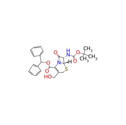 CC(C)(C)OC(=O)N[C@H]1C(=O)N2C(C(=O)OC(c3ccccc3)c3ccccc3)=C(CO)CS[C@@H]12